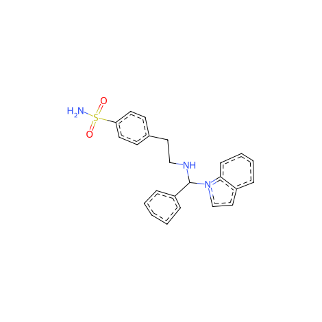 NS(=O)(=O)c1ccc(CCNC(c2ccccc2)n2ccc3ccccc32)cc1